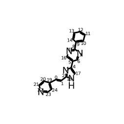 C(=Cc1nc(-c2cnc(-c3ccccc3)nc2)c[nH]1)c1ccncc1